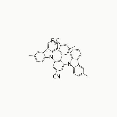 Cc1cc(-c2c(-n3c4ccccc4c4cc(C)ccc43)cc(C#N)cc2-n2c3ccccc3c3cc(C)ccc32)cc(C(F)(F)F)c1